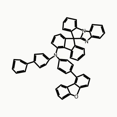 c1ccc(-c2ccc(N(c3ccc(-c4cccc5oc6ccccc6c45)cc3)c3cccc4c3-c3ccccc3C43c4ccccc4-n4c3nc3ccccc34)cc2)cc1